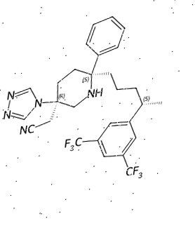 C[C@@H](CCC[C@@]1(c2ccccc2)CC[C@](CC#N)(n2cnnc2)CN1)c1cc(C(F)(F)F)cc(C(F)(F)F)c1